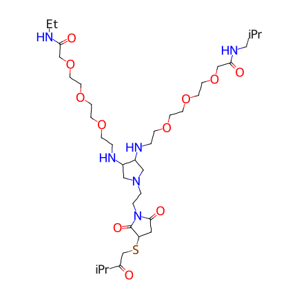 CCNC(=O)COCCOCCOCCNC1CN(CCN2C(=O)CC(SCC(=O)C(C)C)C2=O)CC1NCCOCCOCCOCC(=O)NCC(C)C